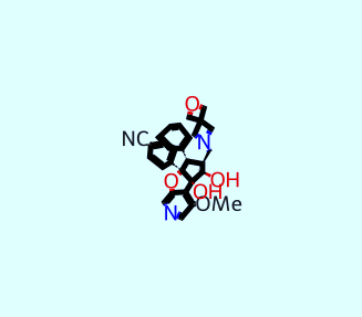 COc1cncc2c1[C@]1(O)[C@H](O)[C@H](CN3CC4(COC4)C3)[C@@H](c3ccccc3)[C@]1(c1ccc(C#N)cc1)O2